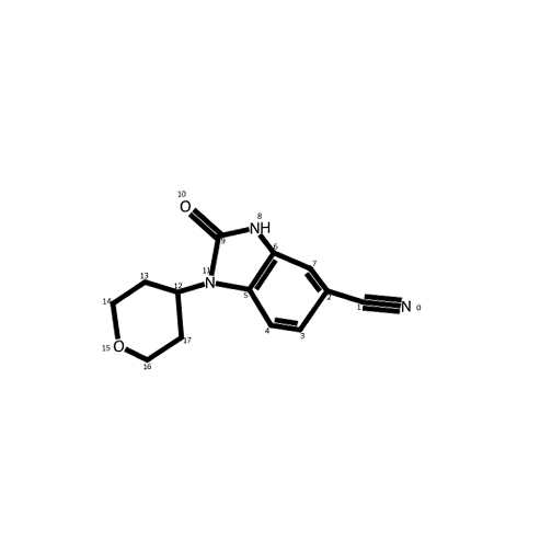 N#Cc1ccc2c(c1)[nH]c(=O)n2C1CCOCC1